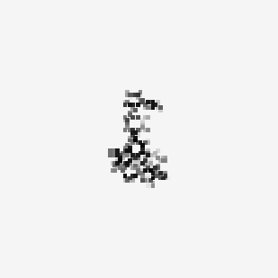 C[C@H]1CCCN1C1CCN(c2ccc(C3(C4CCCCC45CCCC5=O)COCCC34CCNC4=O)cc2)CC1